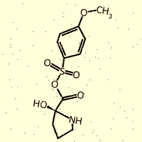 COc1ccc(S(=O)(=O)OC(=O)[C@@]2(O)CCCN2)cc1